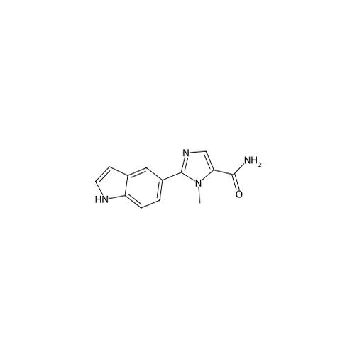 Cn1c(C(N)=O)cnc1-c1ccc2[nH]ccc2c1